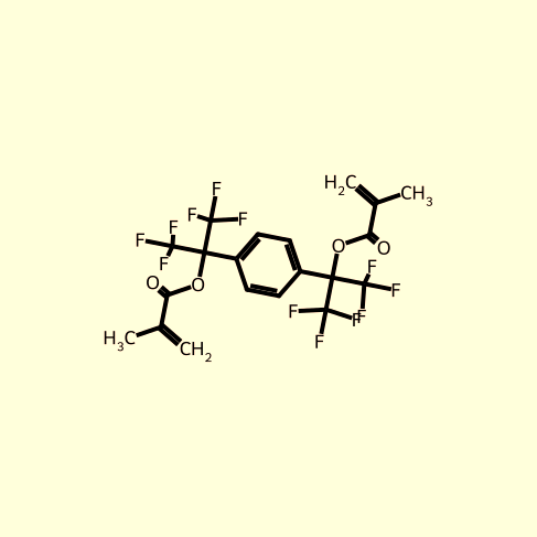 C=C(C)C(=O)OC(c1ccc(C(OC(=O)C(=C)C)(C(F)(F)F)C(F)(F)F)cc1)(C(F)(F)F)C(F)(F)F